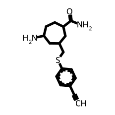 C#Cc1ccc(SCC2CC(N)CCC(C(N)=O)C2)cc1